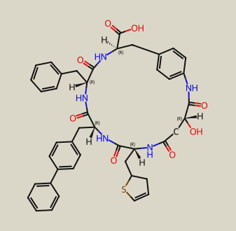 O=C1C[C@@H](O)C(=O)Nc2ccc(cc2)C[C@H](C(=O)O)NC(=O)[C@@H](Cc2ccccc2)NC(=O)[C@@H](Cc2ccc(-c3ccccc3)cc2)NC(=O)[C@@H](CC2CC=CS2)N1